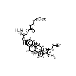 CCCCCCCCCCCCCC(=O)OCC(CN)O[C@H]1CC[C@@]2(C)C(=CC[C@H]3[C@@H]4CC[C@H]([C@H](C)CCCC(C)C)[C@@]4(C)CC[C@@H]32)C1